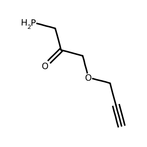 C#CCOCC(=O)CP